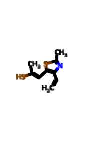 C=Cc1nc(C)sc1/C=C(\C)S